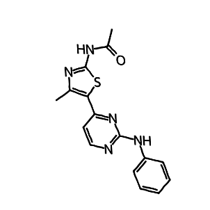 CC(=O)Nc1nc(C)c(-c2ccnc(Nc3ccccc3)n2)s1